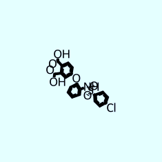 O=C(O)c1ccc(Oc2ccccc2NS(=O)(=O)c2ccc(Cl)cc2)cc1C(=O)O